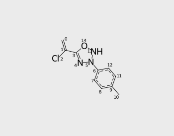 C=C(Cl)C1=NN(c2ccc(C)cc2)NO1